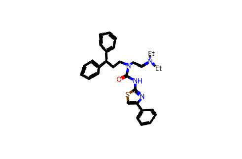 CCN(CC)CCN(CCC(c1ccccc1)c1ccccc1)C(=O)Nc1nc(-c2ccccc2)cs1